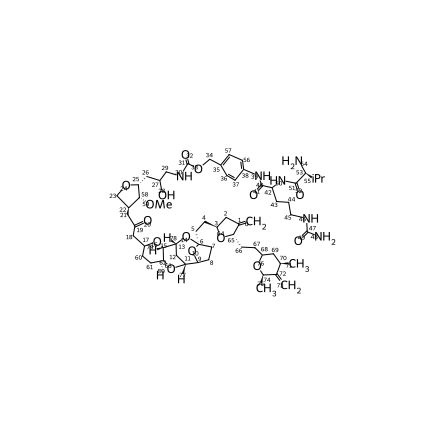 C=C1C[C@H](CC[C@]23CCC(O2)[C@H]2C[C@@H](O3)[C@H]3OC(CC(=O)C[C@H]4CO[C@H](CC(O)CNC(=O)OCc5ccc(NC(=O)C(CCCNC(N)=O)NC(=O)[C@@H](N)C(C)C)cc5)[C@@H]4OC)CC[C@@H]3O2)O[C@H]1CCC1C[C@@H](C)C(=C)[C@@H](C)O1